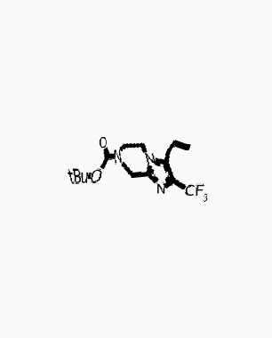 C=Cc1c(C(F)(F)F)nc2n1CCN(C(=O)OC(C)(C)C)C2